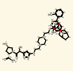 CC(C)C(C(=O)N1C[C@H](O)C[C@H]1C(N)=O)c1cc(OCCN2CCN(CCOc3cc(N4C5CCC4CN(c4cc(-c6ccccc6O)nnc4N)C5)ccn3)CC2)no1